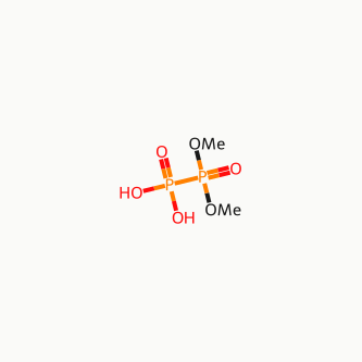 COP(=O)(OC)P(=O)(O)O